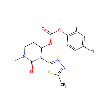 Cc1cc(Cl)ccc1OC(=O)OC1CCN(C)C(=O)N1c1nnc(C(F)(F)F)s1